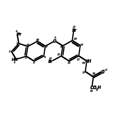 CC(C)c1c[nH]c2ccc(Oc3c(Br)cc(NCC(=O)C(=O)O)cc3Br)cc12